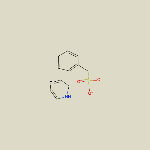 O=S(=O)([O-])Cc1ccccc1.[C+]1=CCNC=C1